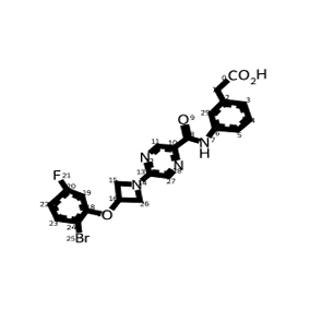 O=C(O)Cc1cccc(NC(=O)c2cnc(N3CC(Oc4cc(F)ccc4Br)C3)cn2)c1